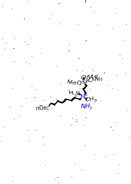 CCCCCCCCCCCCCCCCCC[N+](C)(C)CCC[Si](OC)(OC)OC.N